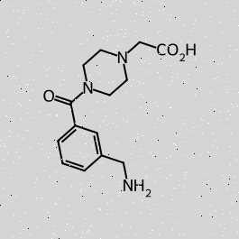 NCc1cccc(C(=O)N2CCN(CC(=O)O)CC2)c1